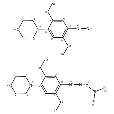 CCc1cc(N2CCOCC2)c(CC)cc1[N+]#N.CCc1cc(N2CCOCC2)c(CC)cc1[N+]#N.[O-]B([O-])F